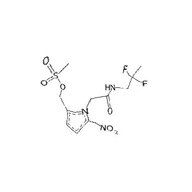 CC(F)(F)CNC(=O)Cn1c(COS(C)(=O)=O)ccc1[N+](=O)[O-]